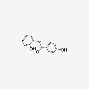 O=C([CH]c1ccccc1O)c1ccc(O)cc1